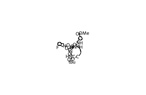 COC(=O)c1cccc(CNC(=O)[C@@]23C[C@H]2/C=C\CCCCC[C@H](NC(=O)OC(C)(C)C)C(=O)N2C[C@H](OC(=O)N4Cc5cccc(F)c5C4)C[C@H]2C(=O)N3)c1